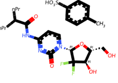 CCCC(CCC)C(=O)Nc1ccn([C@@H]2O[C@H](CO)[C@@H](O)C2(F)F)c(=O)n1.Cc1ccc(S(=O)(=O)O)cc1